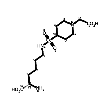 N[C@@H](CCCCNS(=O)(=O)C1CCN(CC(=O)O)CC1)C(=O)O